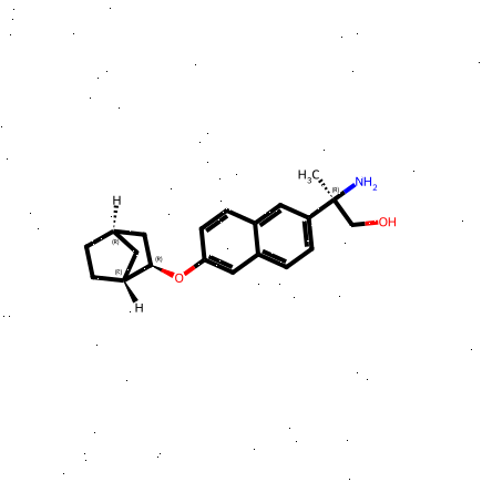 C[C@](N)(CO)c1ccc2cc(O[C@@H]3C[C@@H]4CC[C@@H]3C4)ccc2c1